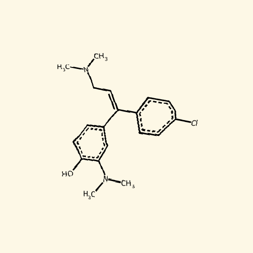 CN(C)CC=C(c1ccc(Cl)cc1)c1ccc(O)c(N(C)C)c1